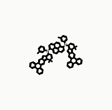 Cc1cccc(N(C2=C3C=c4cc5c6ccccc6c6ccccc6c5cc4=C3C(C)(C)C=C2)c2ccc3ccc4c(N(C5=C6C=c7cc8c9ccccc9c9ccccc9c8cc7=C6C(C)(C)C=C5)c5cccc(C)c5)ccc5ccc2c3c54)c1